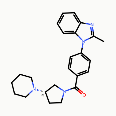 Cc1nc2ccccc2n1-c1ccc(C(=O)N2CC[C@H](N3CCCCC3)C2)cc1